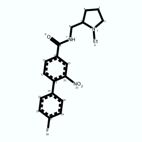 CCN1CCCC1CNC(=O)c1ccc(-c2ccc(F)cc2)c([N+](=O)[O-])c1